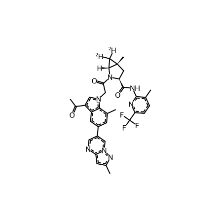 [2H]C1([2H])[C@H]2N(C(=O)Cn3cc(C(C)=O)c4cc(-c5cnc6cc(C)nn6c5)cc(C)c43)[C@H](C(=O)Nc3nc(C(F)(F)F)ccc3C)C[C@]21C